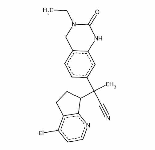 CCN1Cc2ccc(C(C)(C#N)C3CCc4c(Cl)ccnc43)cc2NC1=O